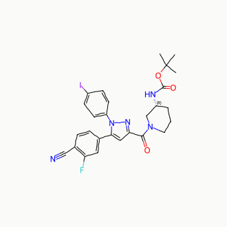 CC(C)(C)OC(=O)N[C@@H]1CCCN(C(=O)c2cc(-c3ccc(C#N)c(F)c3)n(-c3ccc(I)cc3)n2)C1